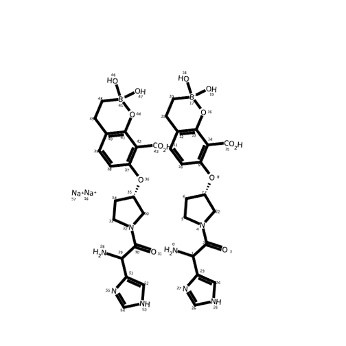 NC(C(=O)N1CC[C@H](Oc2ccc3c(c2C(=O)O)O[B-](O)(O)CC3)C1)c1c[nH]cn1.NC(C(=O)N1CC[C@H](Oc2ccc3c(c2C(=O)O)O[B-](O)(O)CC3)C1)c1c[nH]cn1.[Na+].[Na+]